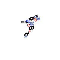 CC(C)(C)c1cc(NC(=O)Nc2ccc(OCCc3cccnc3)c3ccccc23)n(-c2ccc(CN3C(C)(C)CNS3(=O)=O)cc2)n1